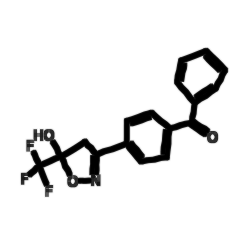 O=C(c1ccccc1)c1ccc(C2=NOC(O)(C(F)(F)F)C2)cc1